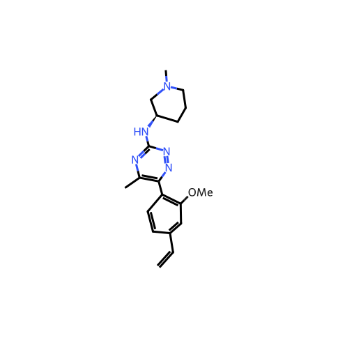 C=Cc1ccc(-c2nnc(N[C@@H]3CCCN(C)C3)nc2C)c(OC)c1